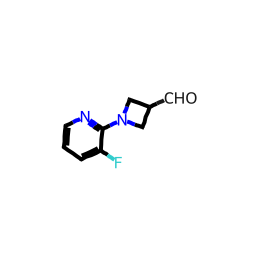 O=CC1CN(c2ncccc2F)C1